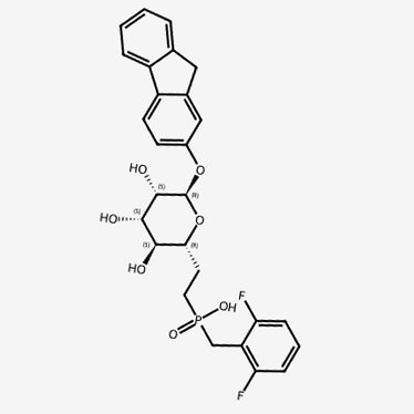 O=P(O)(CC[C@H]1O[C@H](Oc2ccc3c(c2)Cc2ccccc2-3)[C@@H](O)[C@@H](O)[C@@H]1O)Cc1c(F)cccc1F